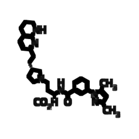 Cc1cc(C)n(-c2cccc(C(=O)N[C@H](CCN3CC[C@H](CCc4ccc5c(n4)NCCC5)C3)C(=O)O)c2)n1